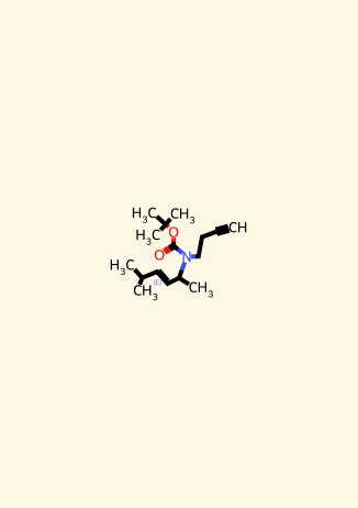 C#CCCN(C(=O)OC(C)(C)C)C(C)/C=C/C(C)C